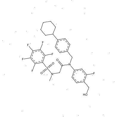 CN(CC(=O)N(Cc1ccc(C2CCCCC2)cc1)c1ccc(CO)c(F)c1)S(=O)(=O)c1c(F)c(F)c(F)c(F)c1F